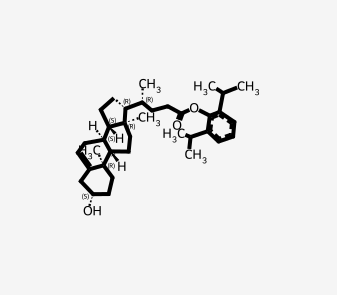 CC(C)c1cccc(C(C)C)c1OC(=O)CC[C@@H](C)[C@H]1CC[C@H]2[C@@H]3CC=C4C[C@@H](O)CC[C@]4(C)[C@H]3CC[C@]12C